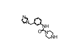 O=C(Nc1cccc(Cn2ccnc2)c1)N1CCNCC1